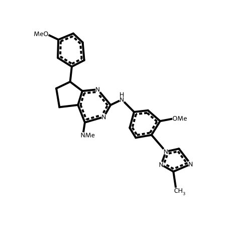 CNc1nc(Nc2ccc(-n3cnc(C)n3)c(OC)c2)nc2c1CCC2c1cccc(OC)c1